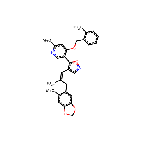 COc1cc(OCc2ccccc2C(=O)O)c(-c2oncc2/C=C(\Cc2cc3c(cc2OC)OCO3)C(=O)O)cn1